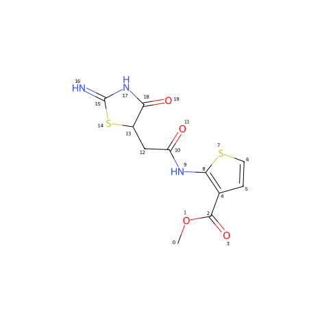 COC(=O)c1ccsc1NC(=O)CC1SC(=N)NC1=O